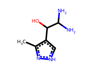 Cc1n[nH]cc1C(O)C(N)N